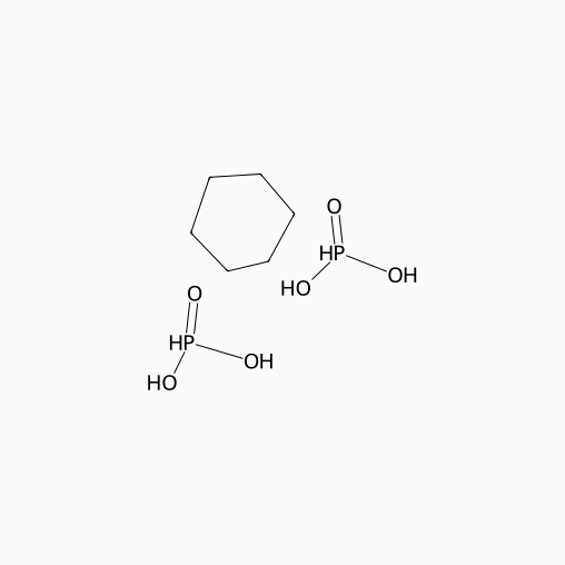 C1CCCCC1.O=[PH](O)O.O=[PH](O)O